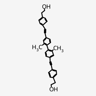 Cc1cc(C#Cc2ccc(CCO)cc2)ccc1-c1ccc(C#Cc2ccc(CCO)cc2)cc1C